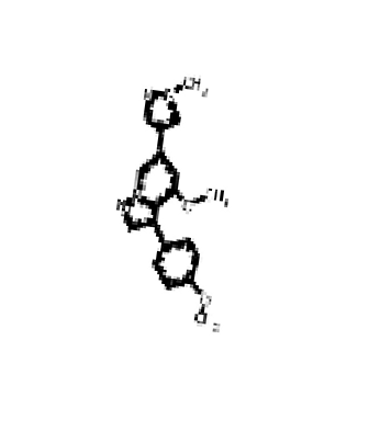 COc1ccc(-c2cnn3cc(-c4cnn(C)c4)cc(OC)c23)cc1